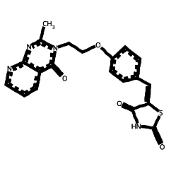 Cc1nc2ncccc2c(=O)n1CCOc1ccc(C=C2SC(=O)NC2=O)cc1